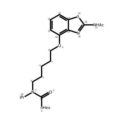 CCCCCCC(=O)N(CCCCCOc1cccc2sc(NC(C)=O)nc12)C(C)C